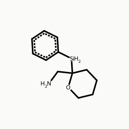 NCC1([SiH2]c2ccccc2)CCCCO1